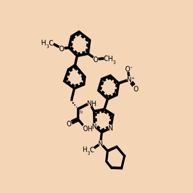 COc1cccc(OC)c1-c1ccc(C[C@H](Nc2nc(N(C)C3CCCCC3)ncc2-c2cccc([N+](=O)[O-])c2)C(=O)O)cc1